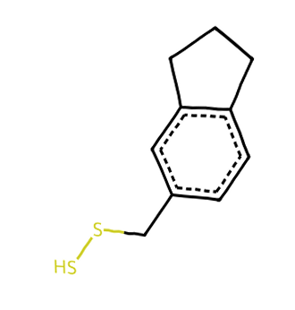 SSCc1ccc2c(c1)CCC2